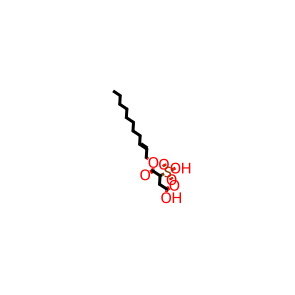 CCCCCCCCC=CCOC(=O)C(CC(=O)O)S(=O)(=O)O